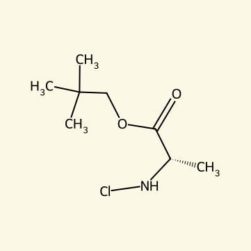 C[C@H](NCl)C(=O)OCC(C)(C)C